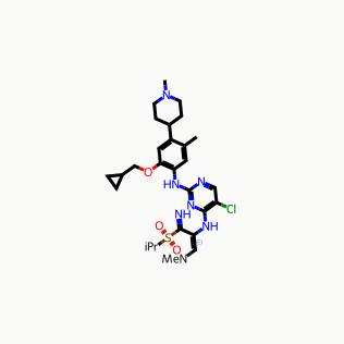 CN/C=C(/Nc1nc(Nc2cc(C)c(C3CCN(C)CC3)cc2OCC2CC2)ncc1Cl)C(=N)S(=O)(=O)C(C)C